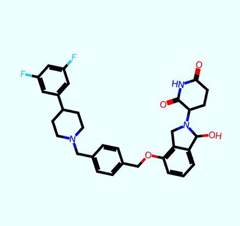 O=C1CCC(N2Cc3c(OCc4ccc(CN5CCC(c6cc(F)cc(F)c6)CC5)cc4)cccc3C2O)C(=O)N1